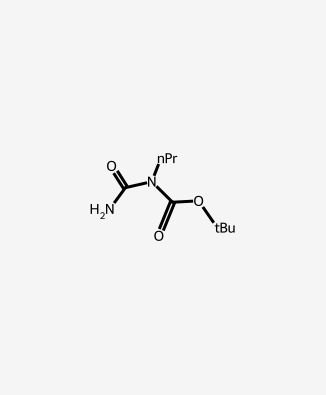 CCCN(C(N)=O)C(=O)OC(C)(C)C